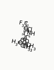 CC1(C)OB(C2=CNC(Cl)(OCC(F)(F)F)C=C2)OC1(C)C